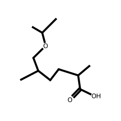 CC(CCC(C)C(=O)O)COC(C)C